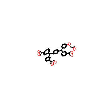 c1cc(OCC2CO2)cc(C(c2ccc(C(c3cccc(C4COOC4)c3)c3cccc(C4COOC4)c3)cc2)c2cccc(C3COOC3)c2)c1